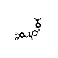 O=C(O)c1ccc(OC2CCN(C(=O)NCc3ccc(Cl)c(Cl)c3)CC2)cc1